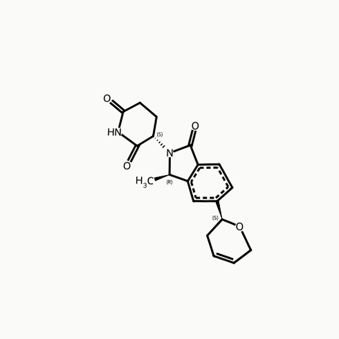 C[C@@H]1c2cc([C@@H]3CC=CCO3)ccc2C(=O)N1[C@H]1CCC(=O)NC1=O